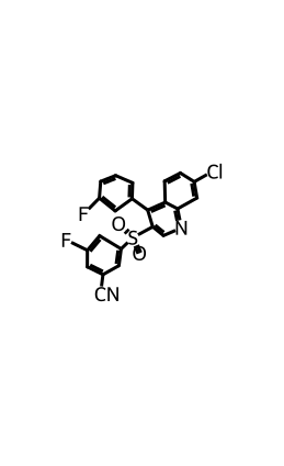 N#Cc1cc(F)cc(S(=O)(=O)c2cnc3cc(Cl)ccc3c2-c2cccc(F)c2)c1